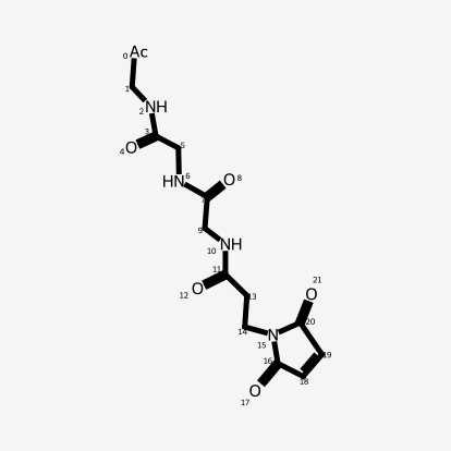 CC(=O)CNC(=O)CNC(=O)CNC(=O)CCN1C(=O)C=CC1=O